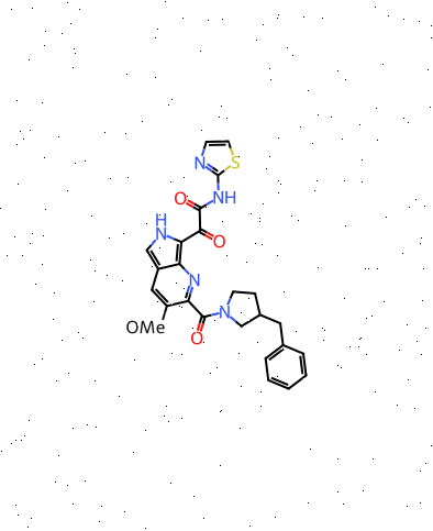 COc1cc2c[nH]c(C(=O)C(=O)Nc3nccs3)c2nc1C(=O)N1CCC(Cc2ccccc2)C1